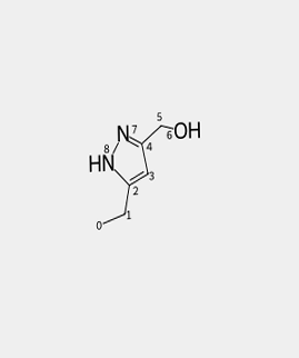 CCc1cc(CO)n[nH]1